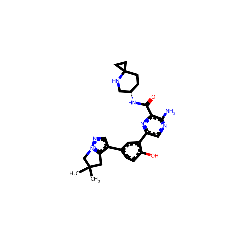 CC1(C)Cc2c(-c3ccc(O)c(-c4cnc(N)c(C(=O)N[C@H]5CCC6(CC6)NC5)n4)c3)cnn2C1